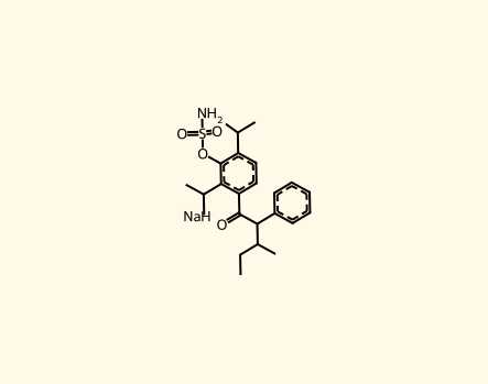 CCC(C)C(C(=O)c1ccc(C(C)C)c(OS(N)(=O)=O)c1C(C)C)c1ccccc1.[NaH]